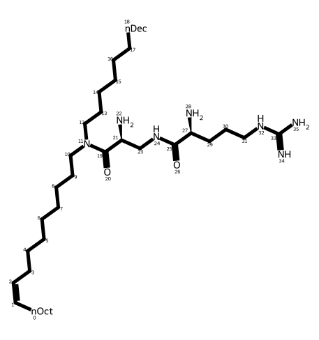 CCCCCCCC/C=C\CCCCCCCCN(CCCCCCCCCCCCCCCC)C(=O)[C@@H](N)CNC(=O)[C@@H](N)CCCNC(=N)N